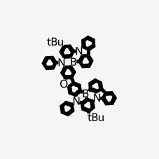 CC(C)(C)c1cc2c3c(c1)-n1c4ccccc4c4cccc(c41)B3c1cc3c(cc1N2c1ccccc1)oc1cc2c(cc13)B1c3c(cc(C(C)(C)C)cc3-n3c4ccccc4c4cccc1c43)N2c1ccccc1